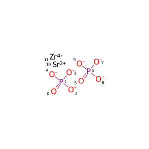 O=P([O-])([O-])[O-].O=P([O-])([O-])[O-].[Sr+2].[Zr+4]